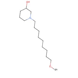 CC(C)OCCCCCCCCCN1CCCC(O)C1